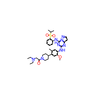 CCN(CC)CC(=O)N1CCC(c2cc(OC)c(Nc3nc(Nc4ccccc4S(=O)(=O)C(C)C)n4nccc4n3)cc2C)CC1